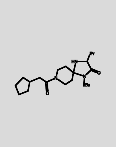 CCCCN1C(=O)C(C(C)C)NC12CCN(C(=O)CC1CCCC1)CC2